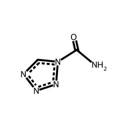 NC(=O)n1cnnn1